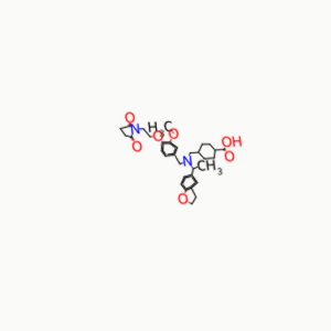 COc1cc(CN(CC2CCC(C(=O)O)CC2)C(C)c2ccc3c(c2)CCO3)ccc1OCCN1C(=O)CCC1=O